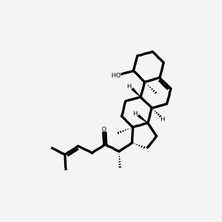 CC(C)=CCC(=O)[C@@H](C)[C@H]1CC[C@H]2[C@@H]3CC=C4CCCC(O)[C@]4(C)[C@H]3CC[C@]12C